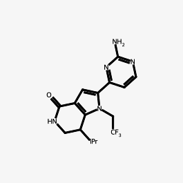 CC(C)C1CNC(=O)c2cc(-c3ccnc(N)n3)n(CC(F)(F)F)c21